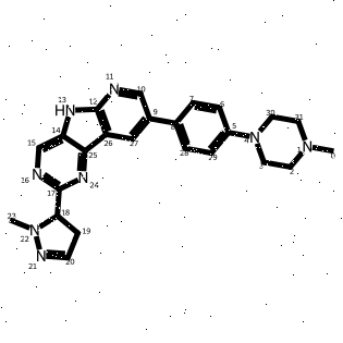 CN1CCN(c2ccc(-c3cnc4[nH]c5cnc(C6CC=NN6C)nc5c4c3)cc2)CC1